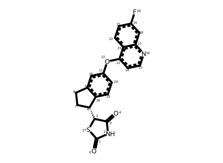 O=C1NC(=O)C([C@@H]2CCc3cc(Oc4ccnc5cc(F)ccc45)ccc32)S1